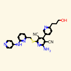 N#Cc1c(N)nc(SCc2cccc(Nc3ccncc3)n2)c(C#N)c1-c1ccc(CCCO)nc1